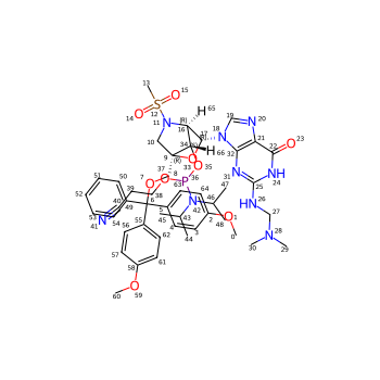 COc1ccc(C(OC[C@@]23CN(S(C)(=O)=O)[C@@H]([C@H](n4cnc5c(=O)[nH]c(NCN(C)C)nc54)O2)[C@@H]3OP(OCCC#N)N(C(C)C)C(C)C)(c2ccccc2)c2ccc(OC)cc2)cc1